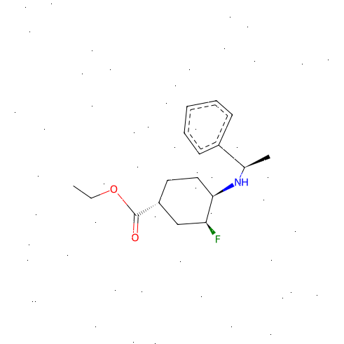 CCOC(=O)[C@@H]1CC[C@@H](N[C@H](C)c2ccccc2)[C@@H](F)C1